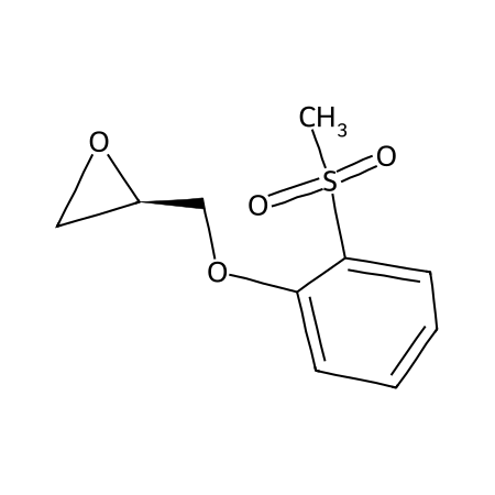 CS(=O)(=O)c1ccccc1OC[C@H]1CO1